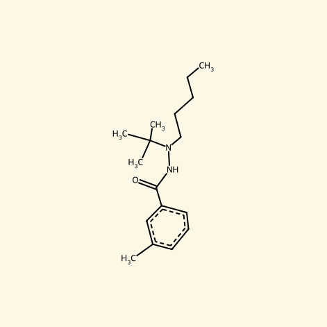 CCCCCN(NC(=O)c1cccc(C)c1)C(C)(C)C